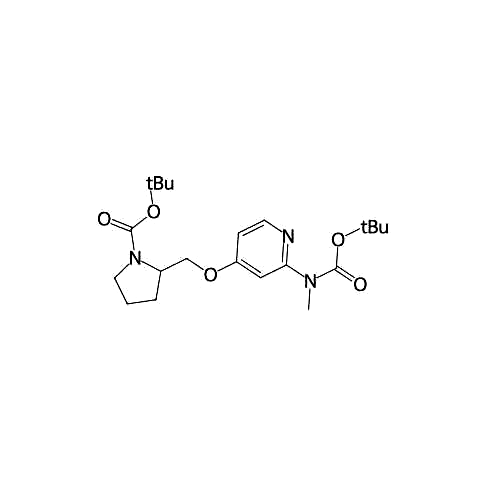 CN(C(=O)OC(C)(C)C)c1cc(OCC2CCCN2C(=O)OC(C)(C)C)ccn1